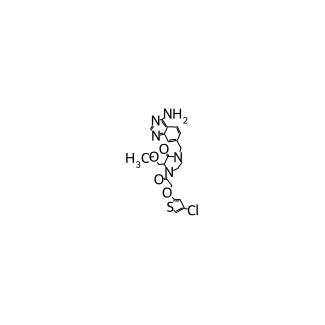 COCC1C(=O)N(Cc2ccc3c(N)ncnc3c2)CCN1C(=O)COc1cc(Cl)cs1